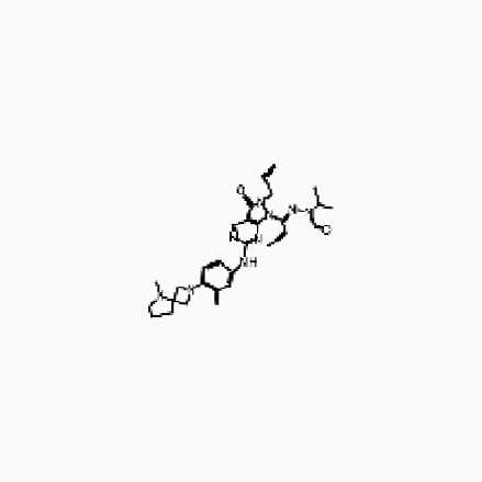 C=CCn1c(=O)c2cnc(Nc3ccc(N4CC5(CCCN5C)C4)c(C)c3)nc2n1C(/C=C\C)=N/N(C=O)C(C)C